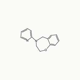 c1ccc(N2CCOc3ccccc3C2)nc1